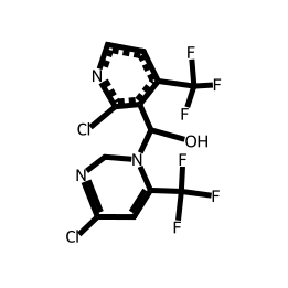 OC(c1c(C(F)(F)F)ccnc1Cl)N1CN=C(Cl)C=C1C(F)(F)F